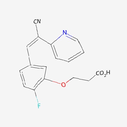 N#CC(=Cc1ccc(F)c(OCCC(=O)O)c1)c1ccccn1